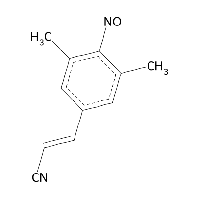 Cc1cc(/C=C/C#N)cc(C)c1N=O